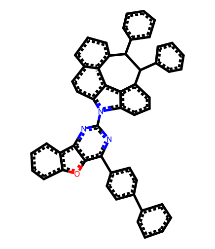 c1ccc(-c2ccc(-c3nc(-n4c5cccc6c5c5c7c(cccc7ccc54)C(c4ccccc4)C6c4ccccc4)nc4c3oc3ccccc34)cc2)cc1